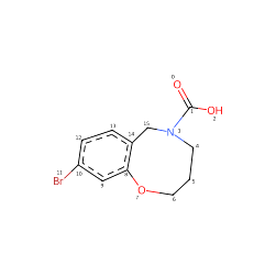 O=C(O)N1CCCOc2cc(Br)ccc2C1